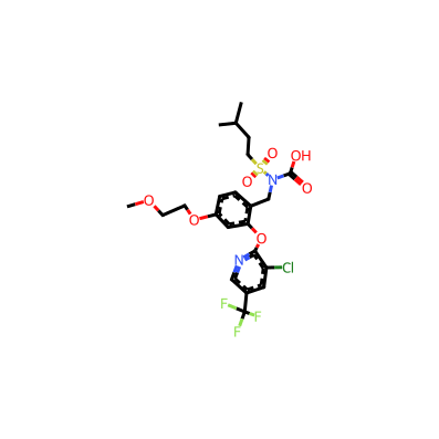 COCCOc1ccc(CN(C(=O)O)S(=O)(=O)CCC(C)C)c(Oc2ncc(C(F)(F)F)cc2Cl)c1